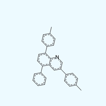 Cc1ccc(-c2cnc3c(-c4ccc(C)cc4)ccc(-c4ccccc4)c3c2)cc1